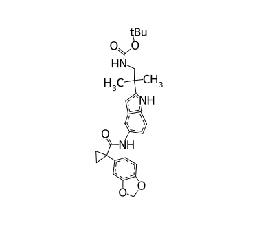 CC(C)(C)OC(=O)NCC(C)(C)c1cc2cc(NC(=O)C3(c4ccc5c(c4)OCO5)CC3)ccc2[nH]1